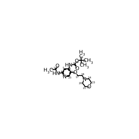 CC(=O)Nc1cc(NC(=O)OC(C)(C)C)c(OCCN2CCOCC2)cn1